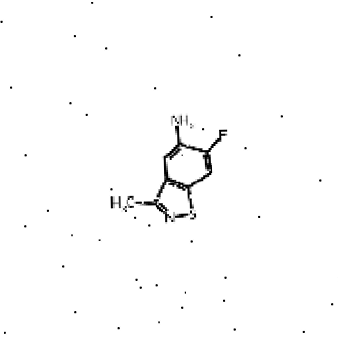 Cc1nsc2cc(F)c(N)cc12